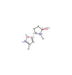 Cc1cc([C@@H]2CCC(=O)N2C)on1